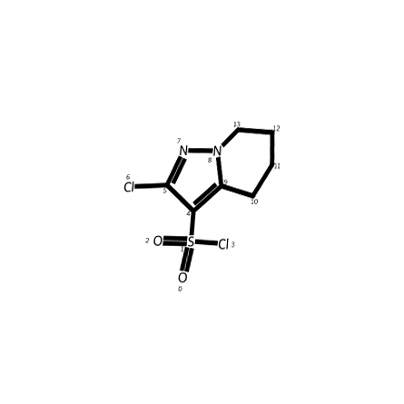 O=S(=O)(Cl)c1c(Cl)nn2c1CCCC2